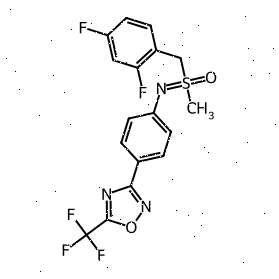 CS(=O)(Cc1ccc(F)cc1F)=Nc1ccc(-c2noc(C(F)(F)F)n2)cc1